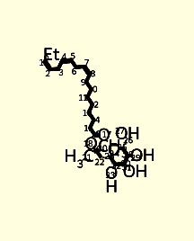 CC/C=C\C/C=C\C/C=C\CCCCCCCC(=O)OC(C)(C)C[C@@H]1O[C@H](CO)[C@H](O)[C@H](O)[C@H]1O